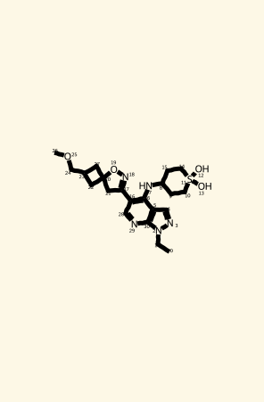 CCn1ncc2c(NC3CCS(O)(O)CC3)c(C3=NOC4(C3)CC(COC)C4)cnc21